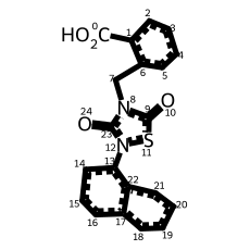 O=C(O)c1ccccc1Cn1c(=O)sn(-c2cccc3ccccc23)c1=O